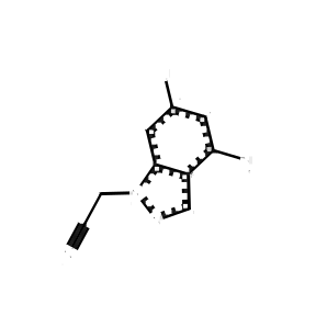 N#CCn1ncc2c(N)cc(Cl)cc21